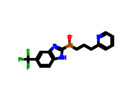 [O-][S+](CCCc1ccccn1)c1nc2cc(C(F)(F)F)ccc2[nH]1